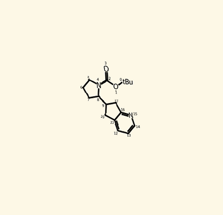 CC(C)(C)OC(=O)N1CCCC1C1Cc2cccnc2C1